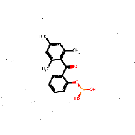 Cc1cc(C)c(C(=O)c2ccccc2OP(O)O)c(C)c1